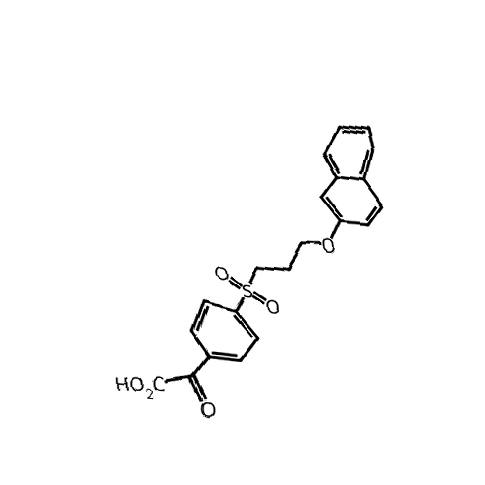 O=C(O)C(=O)c1ccc(S(=O)(=O)CCCOc2ccc3ccccc3c2)cc1